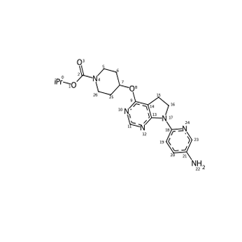 CC(C)OC(=O)N1CCC(Oc2ncnc3c2CCN3c2ccc(N)cn2)CC1